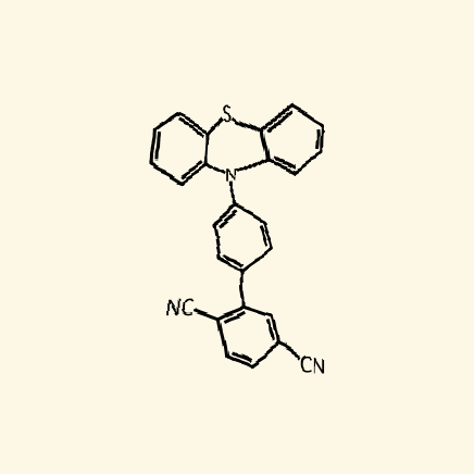 N#Cc1ccc(C#N)c(-c2ccc(N3c4ccccc4Sc4ccccc43)cc2)c1